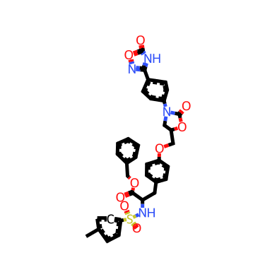 Cc1ccc(S(=O)(=O)NC(Cc2ccc(OCC3CN(c4ccc(-c5noc(=O)[nH]5)cc4)C(=O)O3)cc2)C(=O)OCc2ccccc2)cc1